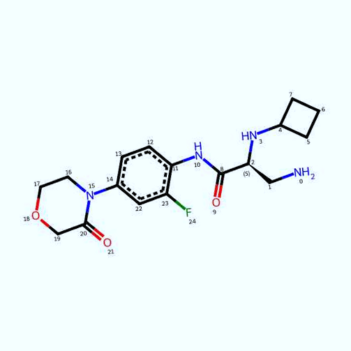 NC[C@H](NC1CCC1)C(=O)Nc1ccc(N2CCOCC2=O)cc1F